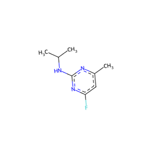 Cc1cc(F)nc(NC(C)C)n1